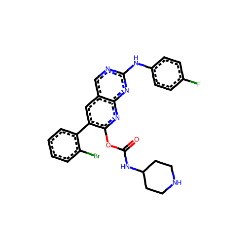 O=C(NC1CCNCC1)Oc1nc2nc(Nc3ccc(F)cc3)ncc2cc1-c1ccccc1Br